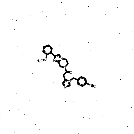 [C-]#[N+]c1ccc(Cn2cncc2CC(=O)N2CCn3cc(-c4ccccc4OC)nc3C2)cc1